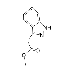 COC(=O)[CH]c1n[nH]c2ccccc12